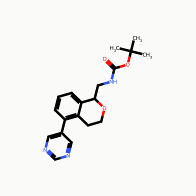 CC(C)(C)OC(=O)NCC1OCCc2c(-c3cncnc3)cccc21